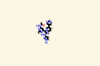 CC(=O)Nc1cc(-c2c(Nc3cc[nH]n3)nc3ccc(-c4cncnc4)cn23)nc(C)n1